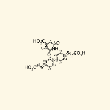 Cn1c(C(=O)O)cc(=O)[nH]c1=O.O=C(O)CSc1ccc(-c2ccc(SCC(=O)O)cc2)cc1